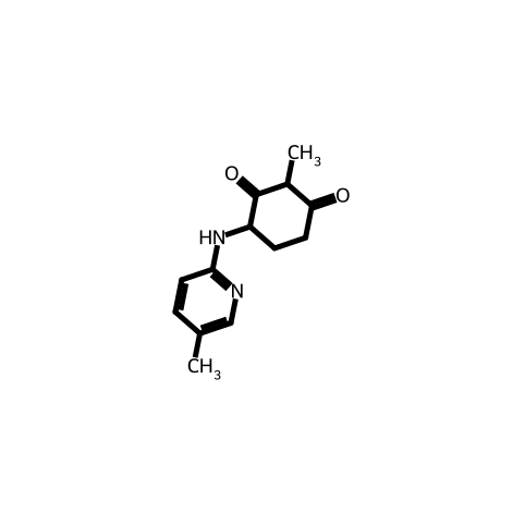 Cc1ccc(NC2CCC(=O)C(C)C2=O)nc1